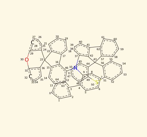 c1ccc(-c2ccccc2N(c2cccc3c2-c2ccccc2C32c3ccccc3Oc3ccccc32)c2cccc3c2C2(c4ccccc4Sc4ccccc42)c2ccccc2-3)cc1